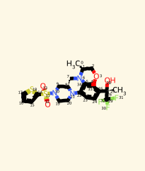 C[C@H]1COCCN1C[C@H]1CN(S(=O)(=O)c2cccs2)CCN1c1ccc([C@@](C)(O)C(F)(F)F)cc1